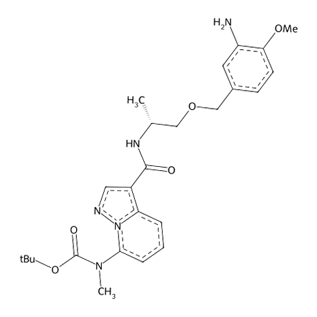 COc1ccc(COC[C@@H](C)NC(=O)c2cnn3c(N(C)C(=O)OC(C)(C)C)cccc23)cc1N